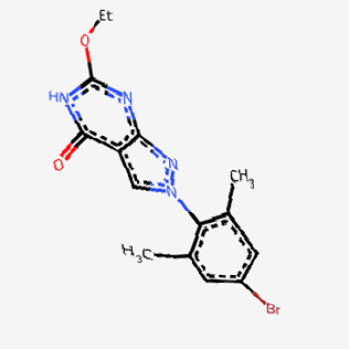 CCOc1nc2nn(-c3c(C)cc(Br)cc3C)cc2c(=O)[nH]1